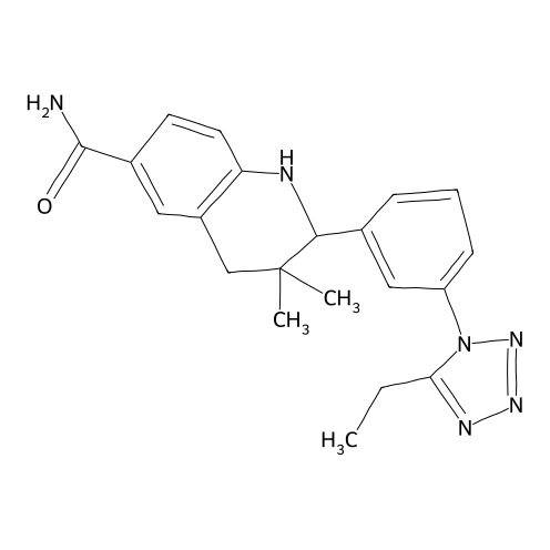 CCc1nnnn1-c1cccc(C2Nc3ccc(C(N)=O)cc3CC2(C)C)c1